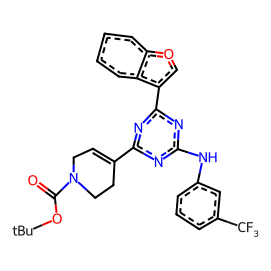 CC(C)(C)OC(=O)N1CC=C(c2nc(Nc3cccc(C(F)(F)F)c3)nc(-c3coc4ccccc34)n2)CC1